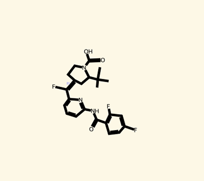 CC(C)(C)C1C/C(=C(/F)c2cccc(NC(=O)c3ccc(F)cc3F)n2)CCN1C(=O)O